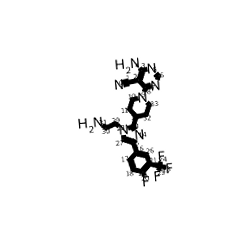 N#Cc1c(N)ncnc1N1CCC(c2nc(-c3ccc(F)c(C(F)(F)F)c3)cn2CCN)CC1